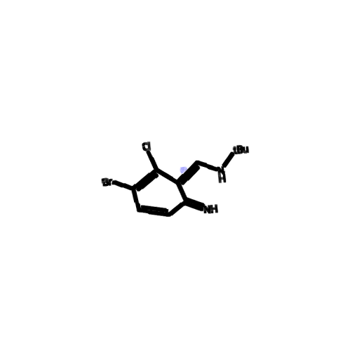 CC(C)(C)N/C=C1\C(=N)C=CC(Br)=C1Cl